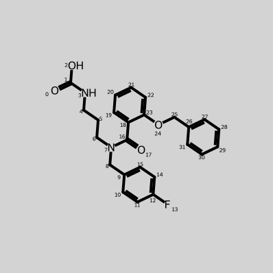 O=C(O)NCCCN(Cc1ccc(F)cc1)C(=O)c1ccccc1OCc1ccccc1